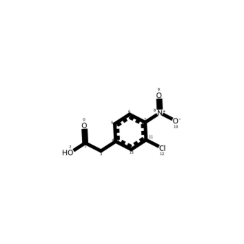 O=C(O)Cc1ccc([N+](=O)[O-])c(Cl)c1